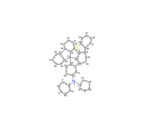 c1ccc(N(c2ccccc2)c2ccc(C3(c4cccc5c4sc4ccccc45)c4ccccc4-c4ccccc43)cc2)cc1